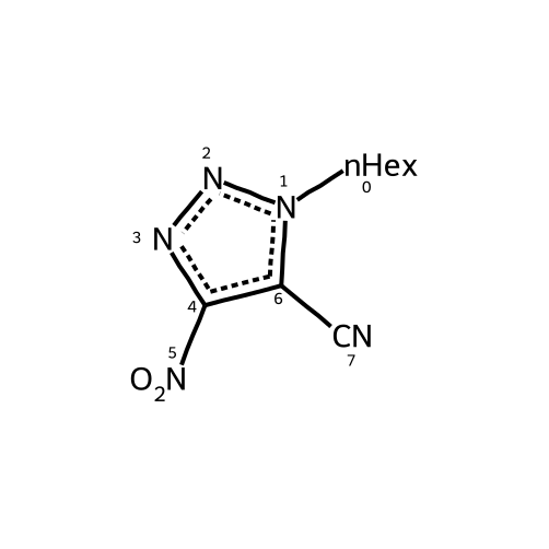 CCCCCCn1nnc([N+](=O)[O-])c1C#N